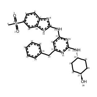 CS(=O)(=O)c1ccc2nc(Nc3cc(Cc4ccccc4)nc(N[C@H]4CC[C@H](O)CC4)n3)sc2c1